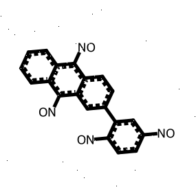 O=Nc1ccc(N=O)c(-c2ccc3c(N=O)c4ccccc4c(N=O)c3c2)c1